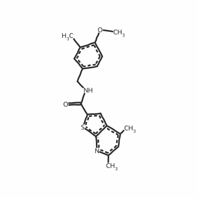 COc1ccc(CNC(=O)c2cc3c(C)cc(C)nc3s2)cc1C